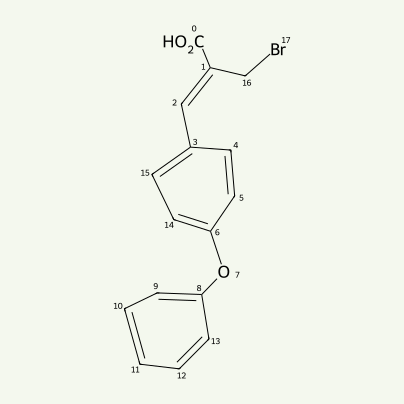 O=C(O)C(=Cc1ccc(Oc2ccccc2)cc1)CBr